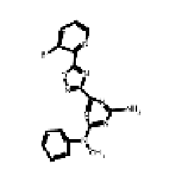 CN(c1ccccc1)c1nc(N)nc(-c2noc(-c3ncccc3Br)n2)n1